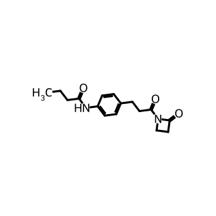 CCCC(=O)Nc1ccc(CCC(=O)N2CCC2=O)cc1